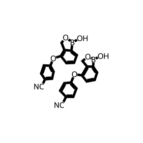 N#Cc1ccc(Oc2cccc3c2COB3O)cc1.N#Cc1ccc(Oc2cccc3c2COB3O)cc1